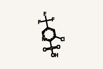 O=S(=O)(O)c1ncc(C(F)(F)F)cc1Cl